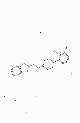 Clc1cccc(N2CCN(CCN3Cc4ccccc4C3)CC2)c1Cl